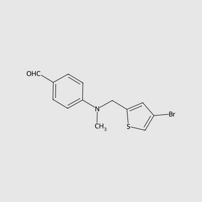 CN(Cc1cc(Br)cs1)c1ccc(C=O)cc1